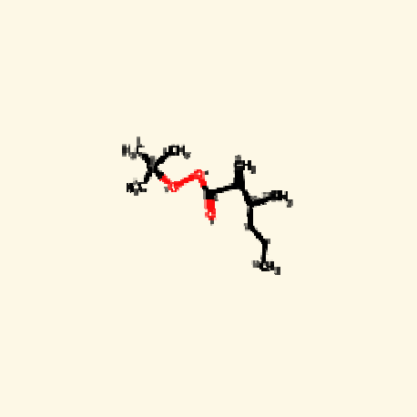 C=C(C(=O)OO[Si](C)(C)C)C([SiH3])CCC